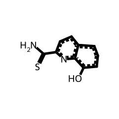 NC(=S)c1ccc2cccc(O)c2n1